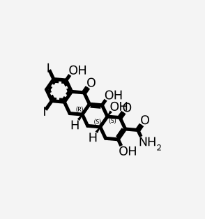 NC(=O)C1=C(O)C[C@@H]2C[C@@H]3Cc4c(I)cc(I)c(O)c4C(=O)C3=C(O)[C@]2(O)C1=O